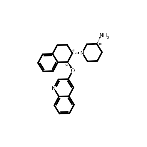 N[C@@H]1CCCN([C@H]2CCc3ccccc3[C@@H]2Oc2cnc3ccccc3c2)C1